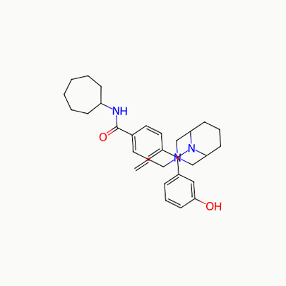 C=CCN1CC2CCCC(C1)N2C(c1ccc(C(=O)NC2CCCCCC2)cc1)c1cccc(O)c1